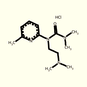 Cc1cccc(N(CCN(C)C)C(=O)N(C)C)n1.Cl